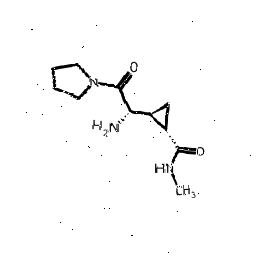 CNC(=O)[C@H]1C[C@@H]1[C@H](N)C(=O)N1CCCC1